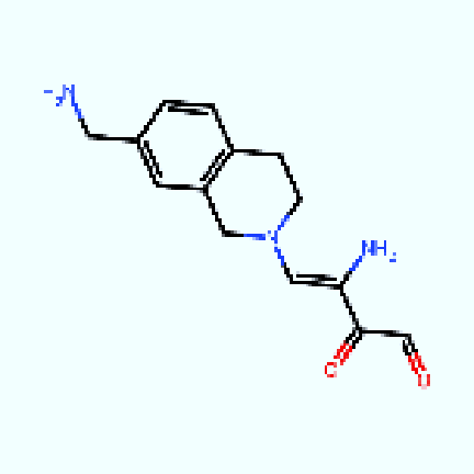 NCc1ccc2c(c1)CN(/C=C(\N)C(=O)C=O)CC2